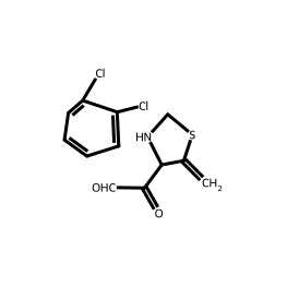 C=C1SCNC1C(=O)C=O.Clc1ccccc1Cl